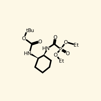 CCOP(=O)(OCC)C(=O)N[C@H]1CCCC[C@H]1NC(=O)OC(C)(C)C